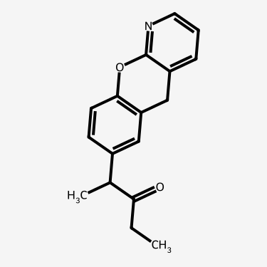 CCC(=O)C(C)c1ccc2c(c1)Cc1cccnc1O2